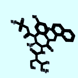 CCN(C(=O)O)[C@@H](CC(C)(C)C)C(=O)N[C@@H]1C(=O)N(Cc2c(C)ccc3ccccc23)c2ccc(C#N)cc2N(C(=O)CS(C)(=O)=O)[C@H]1C